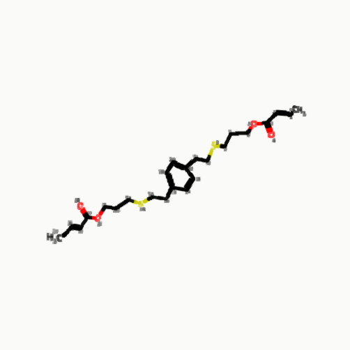 CC=CC(=O)OCCCSCCc1ccc(CCSCCCOC(=O)C=CC)cc1